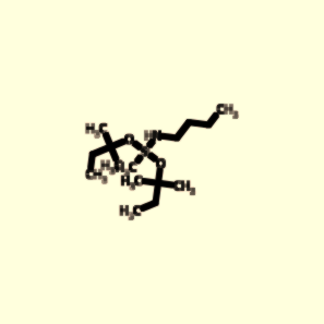 CCCCN[Si](C)(OC(C)(C)CC)OC(C)(C)CC